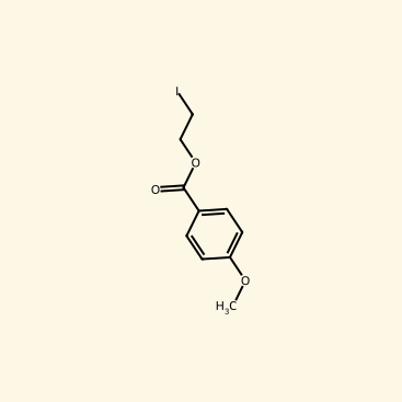 COc1ccc(C(=O)OCCI)cc1